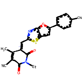 CCN1C(=O)C(C#N)=C(C)/C(=C/c2nc3oc(-c4ccc(C#N)cc4)cc3s2)C1=O